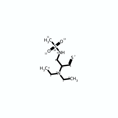 CCN(CC)C(C=S)CNS(C)(=O)=O